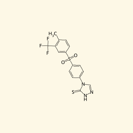 Cc1ccc(S(=O)(=O)c2ccc(-n3cn[nH]c3=S)cc2)cc1C(F)(F)F